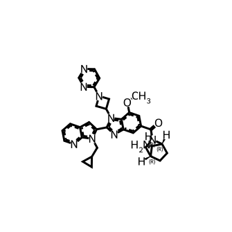 COc1cc(C(=O)N2C[C@H]3CC[C@@H]2[C@@H]3N)cc2nc(-c3cc4cccnc4n3CC3CC3)n(C3CN(c4ccncn4)C3)c12